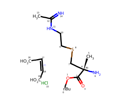 CCCCOC(=O)[C@@](C)(N)CSCCNC(C)=N.Cl.O=C(O)/C=C\C(=O)O